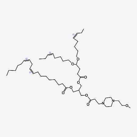 CC/C=C\CCCCOC(CCC(=O)OCC(COC(=O)CCCCCCC/C=C\C/C=C\CCCCC)COC(=O)CCN1CCN(CCOC)CC1)OCCCC/C=C\CC